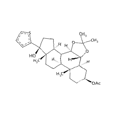 CC(=O)O[C@H]1CC[C@@]2(C)[C@H](C1)[C@H]1OC(C)(C)O[C@@H]1C1[C@@H]2CC[C@@]2(C)[C@H]1CC[C@@]2(O)c1cccs1